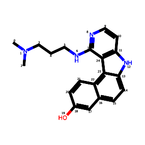 CN(C)CCCNc1nccc2[nH]c3ccc4cc(O)ccc4c3c12